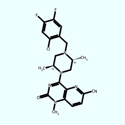 C[C@@H]1CN(c2nc(=O)n(C)c3ccc(C#N)nc23)[C@@H](C)CN1Cc1cc(F)c(F)cc1Cl